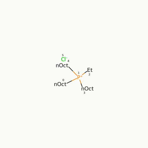 CCCCCCCC[P+](CC)(CCCCCCCC)CCCCCCCC.[Cl-]